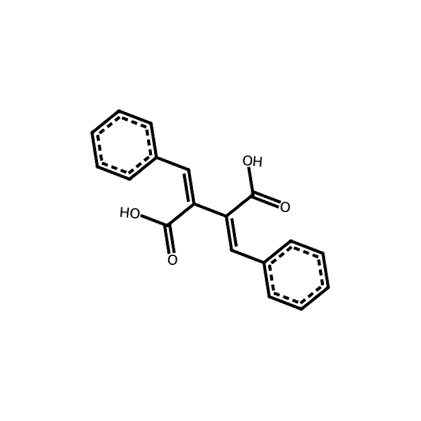 O=C(O)C(=Cc1ccccc1)C(=Cc1ccccc1)C(=O)O